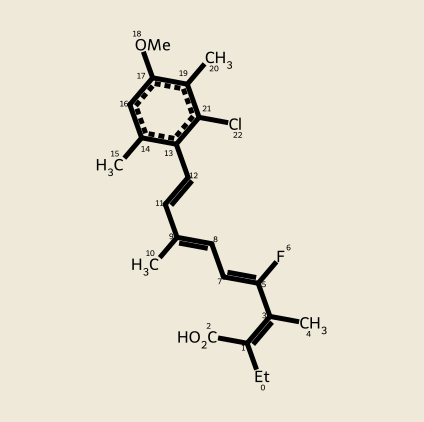 CCC(C(=O)O)=C(C)C(F)=CC=C(C)C=Cc1c(C)cc(OC)c(C)c1Cl